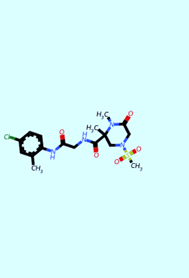 Cc1cc(Cl)ccc1NC(=O)CNC(=O)C1(C)CN(S(C)(=O)=O)CC(=O)N1C